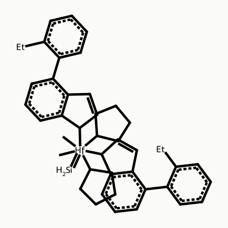 CCc1ccccc1-c1cccc2c1C=C[CH]2[Hf]([CH3])([CH3])(=[SiH2])([CH]1CCCC1)([CH]1CCCC1)[CH]1C=Cc2c(-c3ccccc3CC)cccc21